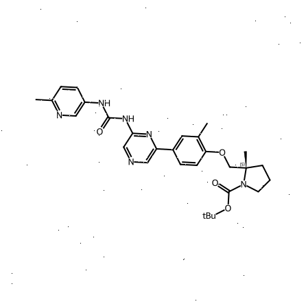 Cc1ccc(NC(=O)Nc2cncc(-c3ccc(OC[C@]4(C)CCCN4C(=O)OC(C)(C)C)c(C)c3)n2)cn1